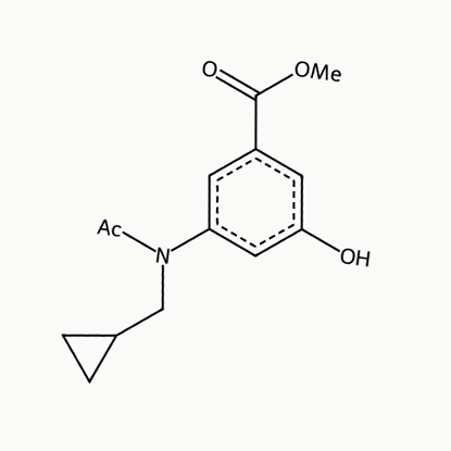 COC(=O)c1cc(O)cc(N(CC2CC2)C(C)=O)c1